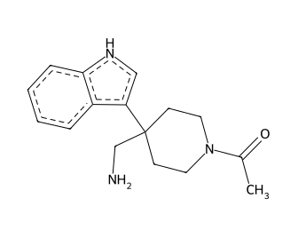 CC(=O)N1CCC(CN)(c2c[nH]c3ccccc23)CC1